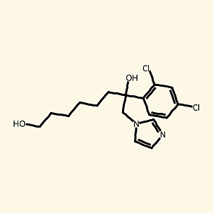 OCCCCCCC(O)(Cn1ccnc1)c1ccc(Cl)cc1Cl